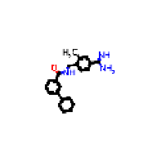 Cc1cc(C(=N)N)ccc1CNC(=O)c1cccc(-c2ccccc2)c1